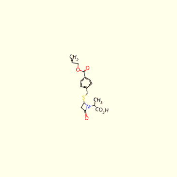 C=CCOC(=O)c1ccc(CSC2CC(=O)N2C(C)C(=O)O)cc1